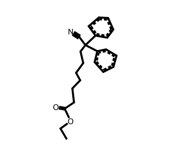 CCOC(=O)CCCCCCC(C#N)(c1ccccc1)c1ccccc1